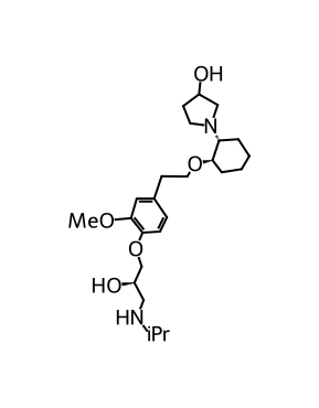 COc1cc(CCO[C@@H]2CCCC[C@H]2N2CCC(O)C2)ccc1OC[C@H](O)CNC(C)C